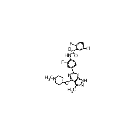 Cc1n[nH]c2nc(-c3ccc(NS(=O)(=O)c4cc(Cl)ccc4F)c(F)c3)nc(OC3CCN(C)CC3)c12